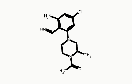 CC(=O)N1CCN(c2cc(Cl)cc(N)c2C=N)CC1C